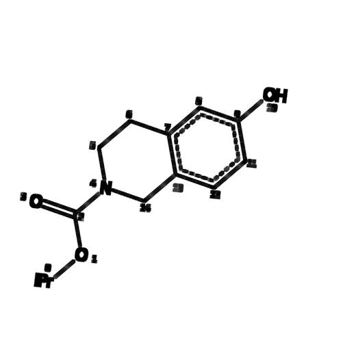 CC(C)OC(=O)N1CCc2cc(O)ccc2C1